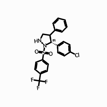 O=S(=O)(c1ccc(C(F)(F)F)cc1)N1NCC(c2ccccc2)[C@@H]1c1ccc(Cl)cc1